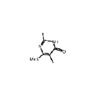 CSc1nc(C)[nH]c(=O)c1C